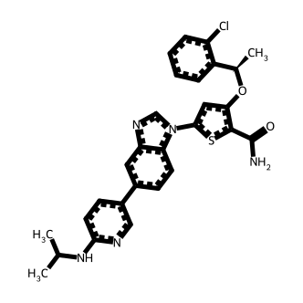 CC(C)Nc1ccc(-c2ccc3c(c2)ncn3-c2cc(O[C@H](C)c3ccccc3Cl)c(C(N)=O)s2)cn1